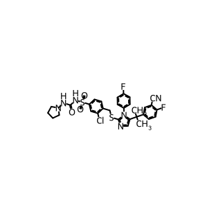 CC(C)(c1ccc(F)c(C#N)c1)c1cnc(SCc2ccc(S(=O)(=O)NC(=O)NN3CCCC3)cc2Cl)n1-c1ccc(F)cc1